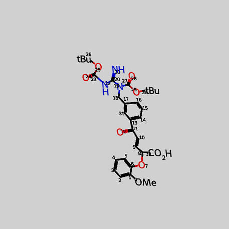 COc1ccccc1OC(C=CC(=O)c1cccc(CN(C(=N)NC(=O)OC(C)(C)C)C(=O)OC(C)(C)C)c1)C(=O)O